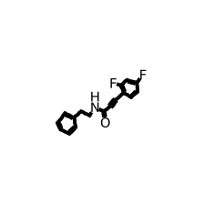 O=C(C#Cc1ccc(F)cc1F)NCCc1ccccc1